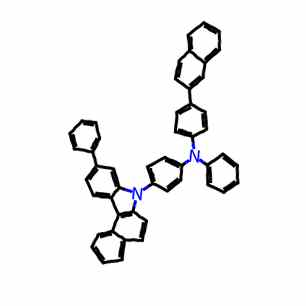 c1ccc(-c2ccc3c4c5ccccc5ccc4n(-c4ccc(N(c5ccccc5)c5ccc(-c6ccc7ccccc7c6)cc5)cc4)c3c2)cc1